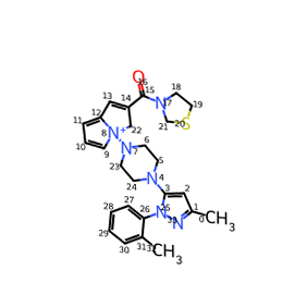 Cc1cc(N2CCN([N@@+]34C=CC=C3C=C(C(=O)N3CCSC3)C4)CC2)n(-c2ccccc2C)n1